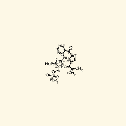 C=C(C)C(O)c1coc(C(=O)c2cncnc2N[C@@H]2C[C@H](COS(N)(=O)=O)[C@@H](O)C2)c1